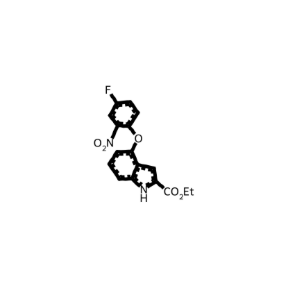 CCOC(=O)c1cc2c(Oc3ccc(F)cc3[N+](=O)[O-])cccc2[nH]1